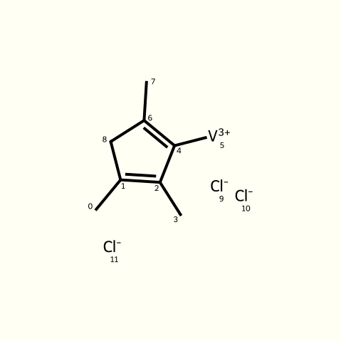 CC1=C(C)[C]([V+3])=C(C)C1.[Cl-].[Cl-].[Cl-]